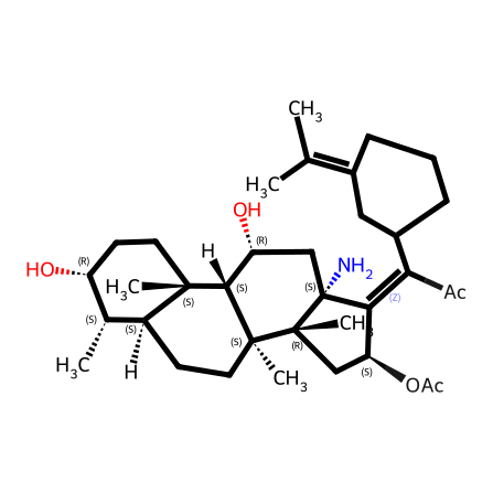 CC(=O)O[C@H]1C[C@@]2(C)[C@@](N)(C[C@@H](O)[C@H]3[C@@]4(C)CC[C@@H](O)[C@@H](C)[C@@H]4CC[C@@]32C)/C1=C(/C(C)=O)C1CCCC(=C(C)C)C1